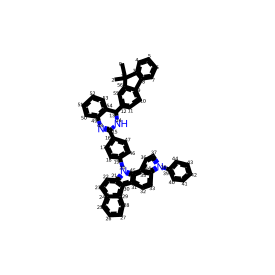 CC1(C)c2ccccc2-c2ccc(C3NC(c4ccc(-n5c6ccc7ccccc7c6c6ccc7c(ccn7-c7ccccc7)c65)cc4)=Nc4ccccc43)cc21